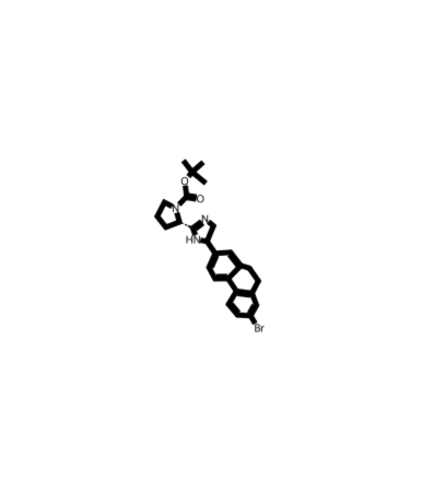 CC(C)(C)OC(=O)N1CCC[C@H]1C1=NCC(c2ccc3c(c2)CCc2cc(Br)ccc2-3)N1